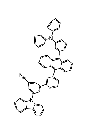 N#Cc1cc(-c2cccc(-c3c4ccccc4c(-c4cccc(N(c5ccccc5)c5ccccc5)c4)c4ccccc34)c2)cc(-n2c3ccccc3c3ccccc32)c1